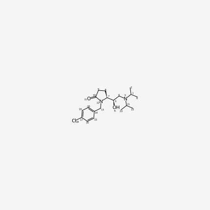 CC(C)N(C[C@@H](O)[C@@H]1CCC(=O)N1Cc1ccc(Cl)cc1)C(C)C